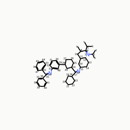 CC(C)N=C(C(C)C)C(C)CC1CCCC(N=C(C2CCCCC2)C2CCCC(c3cccc(N=C(c4ccccc4)c4ccccc4)c3)C2)C1